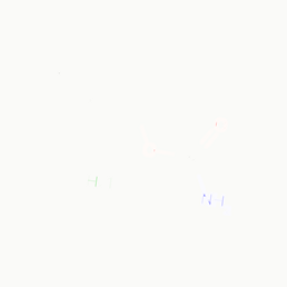 Cl.NC(=O)OCC1CC1